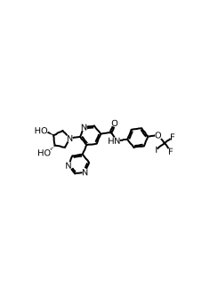 O=C(Nc1ccc(OC(F)(F)I)cc1)c1cnc(N2C[C@H](O)[C@@H](O)C2)c(-c2cncnc2)c1